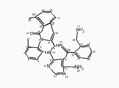 Cc1ccccc1-n1c(CNc2ncnc(N)c2C(=N)c2ccccc2CN)cc2cccc(C)c2c1=O